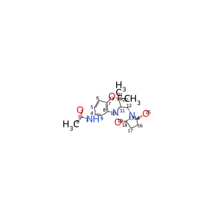 CC(=O)Nc1ccc2c(c1)N=C(CN1C(=O)CCC1=O)C(C)(C)O2